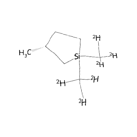 [2H]C([2H])([2H])[Si]1(C([2H])([2H])[2H])CC[C@@H](C)C1